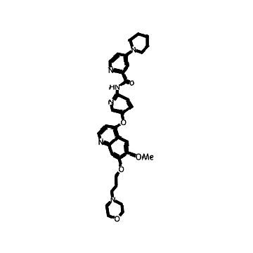 COc1cc2c(Oc3ccc(NC(=O)c4cc(N5CCCCC5)ccn4)nc3)ccnc2cc1OCCCN1CCOCC1